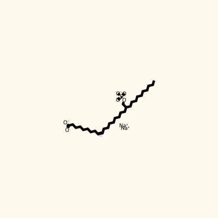 CCCCCCCCCCC(CCCCCCCC/C=C\CCCCCCCC(=O)[O-])COS(=O)(=O)[O-].[Na+].[Na+]